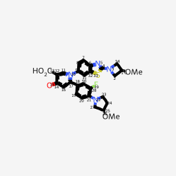 COC1CN(c2nc3ccc(-n4cc(C(=O)O)c(=O)cc4-c4ccc(N5CC[C@@H](OC)C5)c(F)c4)cc3s2)C1